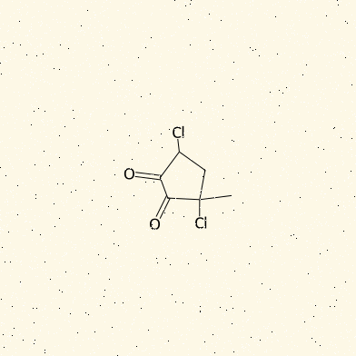 CC1(Cl)CC(Cl)C(=O)C1=O